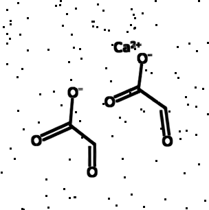 O=CC(=O)[O-].O=CC(=O)[O-].[Ca+2]